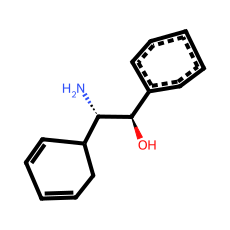 N[C@@H](C1C=CC=CC1)[C@H](O)c1ccccc1